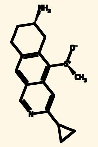 C[S@+]([O-])c1c2c(cc3cnc(C4CC4)cc13)CC[C@H](N)C2